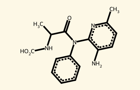 Cc1ccc(N)c(N(C(=O)C(C)NC(=O)O)c2ccccc2)n1